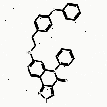 O=c1c2c[nH]nc2c2cnc(NCCc3ccc(Oc4ccccc4)cc3)nc2n1-c1ccccc1